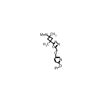 CNC1(C)CC(C)(c2nnc(COc3ccc(OC(C)C)nc3)o2)C1